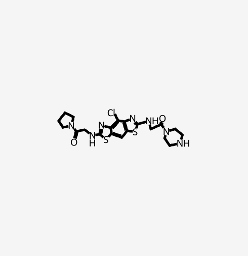 O=C(CNc1nc2c(Cl)c3nc(NCC(=O)N4CCNCC4)sc3cc2s1)N1CCCC1